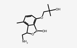 Cc1ccc(OCC(C)(C)O)c2c1C(CN)OB2O